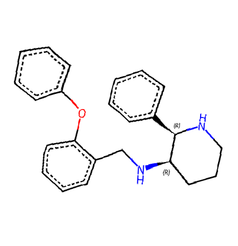 c1ccc(Oc2ccccc2CN[C@@H]2CCCN[C@@H]2c2ccccc2)cc1